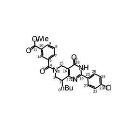 CCCCC1CN(C(=O)c2cccc(C(=O)OC)c2)Cc2c1nc(-c1ccc(Cl)cc1)[nH]c2=O